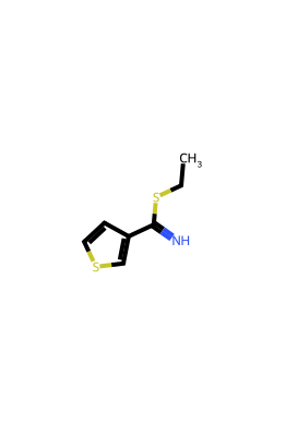 CCSC(=N)c1ccsc1